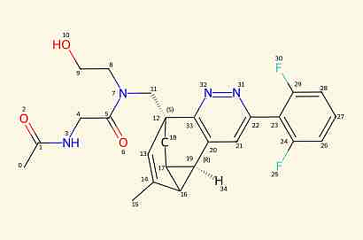 CC(=O)NCC(=O)N(CCO)C[C@@]12C=C(C)C3C(C1)[C@H]3c1cc(-c3c(F)cccc3F)nnc12